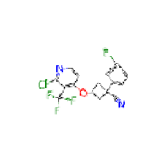 N#CC1(c2cccc(F)c2)CC(Oc2ccnc(Cl)c2C(F)(F)F)C1